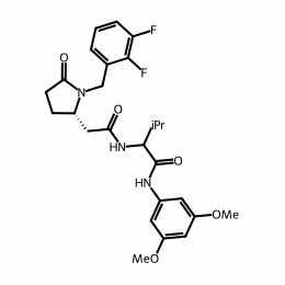 COc1cc(NC(=O)C(NC(=O)C[C@@H]2CCC(=O)N2Cc2cccc(F)c2F)C(C)C)cc(OC)c1